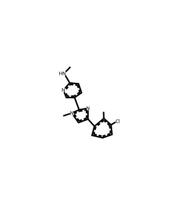 CNc1ccc(-c2nc(-c3cccc(Cl)c3C)cn2C)cn1